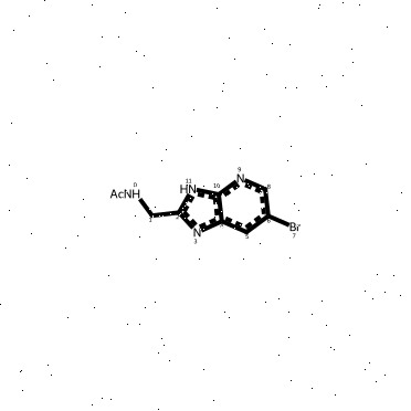 CC(=O)NCc1nc2cc(Br)cnc2[nH]1